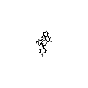 Fc1ccc(C(Oc2ccc3ncccc3c2)c2nncs2)nc1